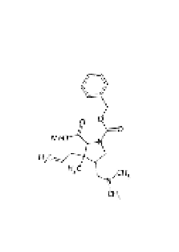 C=CCC1(C)C(CN(C)C)CN(C(=O)OCc2ccccc2)C1C(=O)OC